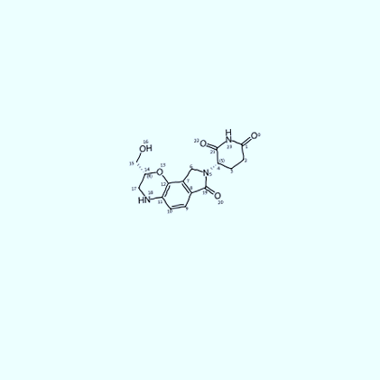 O=C1CC[C@H](N2Cc3c(ccc4c3O[C@@H](CO)CN4)C2=O)C(=O)N1